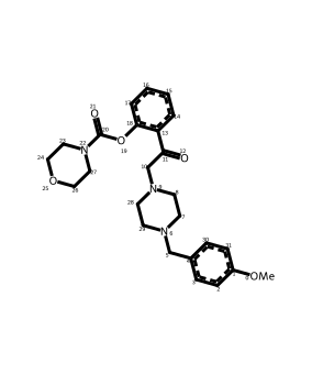 COc1ccc(CN2CCN(CC(=O)c3ccccc3OC(=O)N3CCOCC3)CC2)cc1